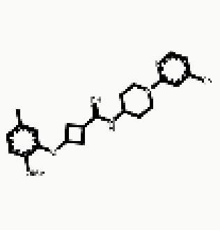 COc1ccc(C)cc1OC1CC(C(=P)NC2CCN(c3cc(C#N)ccn3)CC2)C1